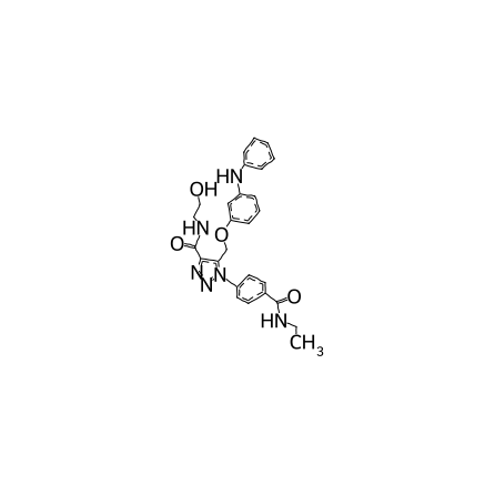 CCNC(=O)c1ccc(-n2nnc(C(=O)NCCO)c2COc2cccc(Nc3ccccc3)c2)cc1